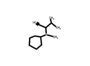 C#CC(C(C)C)N(C)C1CCCCC1